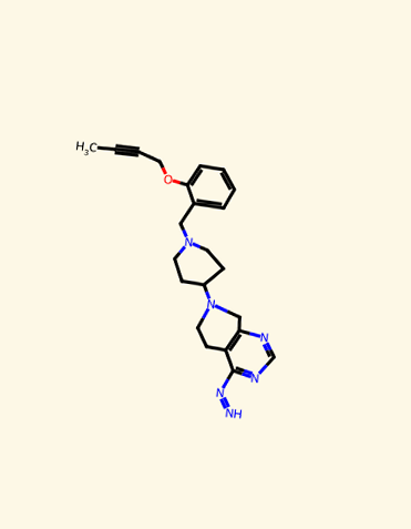 CC#CCOc1ccccc1CN1CCC(N2CCc3c(ncnc3N=N)C2)CC1